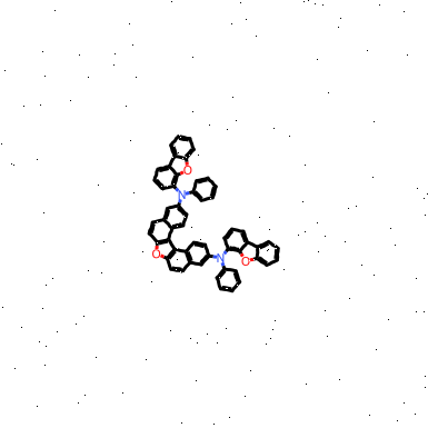 c1ccc(N(c2ccc3c(ccc4oc5ccc6cc(N(c7ccccc7)c7cccc8c7oc7ccccc78)ccc6c5c43)c2)c2cccc3c2oc2ccccc23)cc1